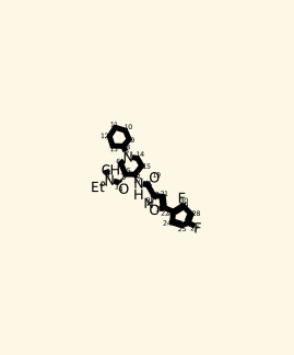 CCN(C)C(=O)[C@@H]1CN(C2CCCCC2)CC[C@H]1NC(=O)c1cc(-c2ccc(F)cc2F)on1